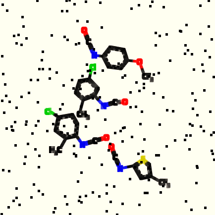 Cc1cc(Cl)ccc1N=C=O.Cc1ccc(Cl)cc1N=C=O.O=C=Nc1cc(C(F)(F)F)cs1.O=C=Nc1ccc(OC(F)(F)F)cc1